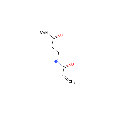 C=CC(=O)NCCC(=O)NC